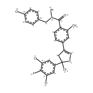 Cc1cc(C2=NOC(c3cc(Cl)c(F)c(Cl)c3)(C(F)(F)F)C2)ccc1C(=O)N(Cc1ccc(Cl)nc1)C(C)C